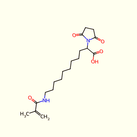 C=C(C)C(=O)NCCCCCCCCCC(C(=O)O)N1C(=O)CCC1=O